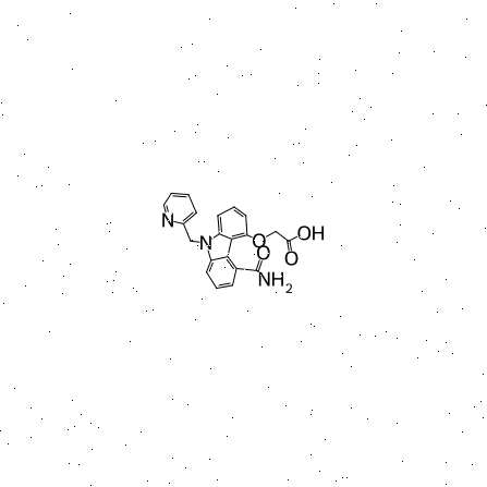 NC(=O)c1cccc2c1c1c(OCC(=O)O)cccc1n2Cc1ccccn1